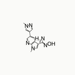 Cn1cc(-c2cnc3c(c2)c(/C(N)=N/O)cn3C)cn1